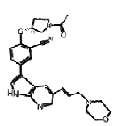 CC(=O)N1CC[C@@H](Oc2ccc(-c3c[nH]c4ncc(C=CCN5CCOCC5)cc34)cc2C#N)C1